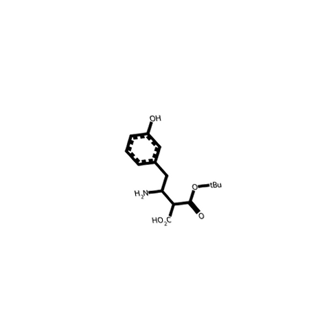 CC(C)(C)OC(=O)C(C(=O)O)C(N)Cc1cccc(O)c1